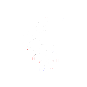 CN(C)CCCC(=O)c1ccc(-c2ccc(O)c3c2C[C@H]2C[C@H]4[C@H](N(C)C)C(O)=C(C(N)=O)C(=O)[C@@]4(O)C(O)=C2C3=O)cc1